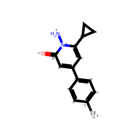 Nn1c(C2CC2)cc(-c2ccc(C(F)(F)F)cc2)cc1=O